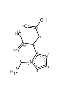 CCn1ccnc1C(CC(=O)O)C(=O)O